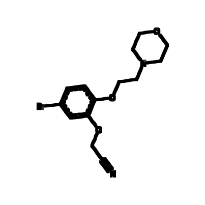 N#CCOc1cc(Br)ccc1OCCN1CCOCC1